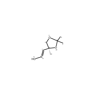 CC1(C)OC[C@](C)(/C=N/O)O1